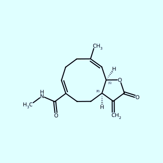 C=C1C(=O)O[C@@H]2C=C(C)CCC=C(C(=O)NC)CC[C@H]12